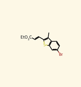 CCOC(=O)/C=C/c1sc2cc(Br)ccc2c1C